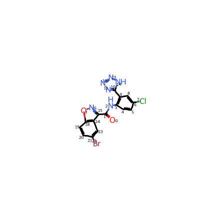 O=C(Nc1ccc(Cl)cc1-c1nnn[nH]1)c1noc2ccc(Br)cc12